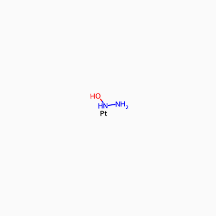 NNO.[Pt]